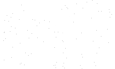 CCOC(=O)c1cccc(N2C(c3cccc(F)c3)=C=Cc3cc(C(F)(F)F)ccc32)c1